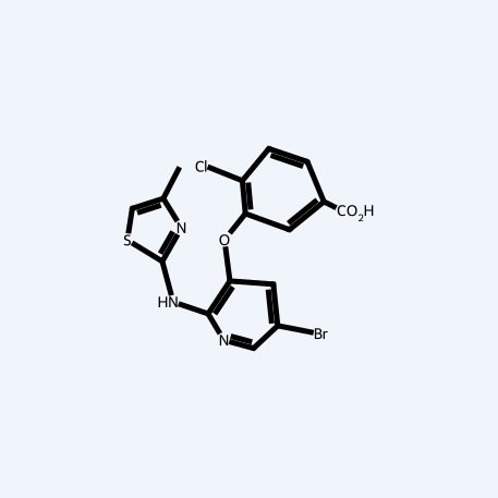 Cc1csc(Nc2ncc(Br)cc2Oc2cc(C(=O)O)ccc2Cl)n1